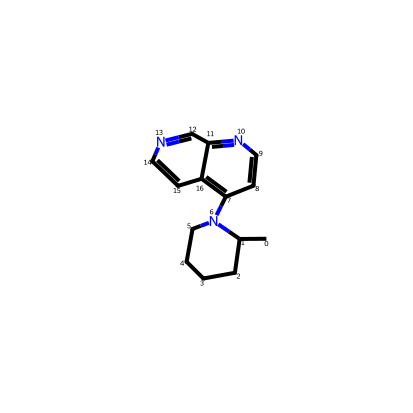 CC1CCCCN1c1ccnc2cnccc12